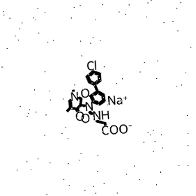 CC1=CN(C)C(=O)C(N(C(=O)NCCC(=O)[O-])c2cccc(-c3ccc(Cl)cc3)c2)C1=O.[Na+]